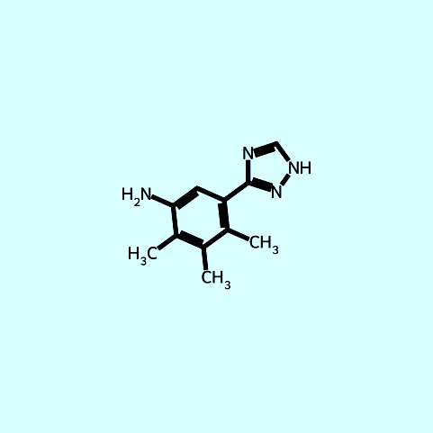 Cc1c(N)cc(-c2nc[nH]n2)c(C)c1C